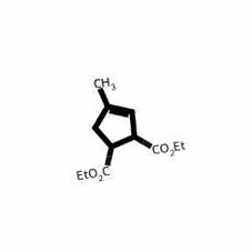 CCOC(=O)C1C=C(C)CC1C(=O)OCC